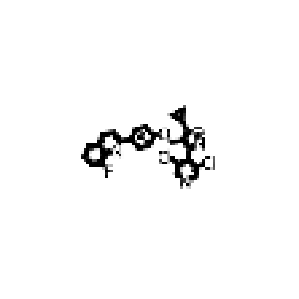 Fc1cccc2ccc(C34CCC(OCc5c(-c6c(Cl)cncc6Cl)noc5C5CC5)(CC3)CC4)nc12